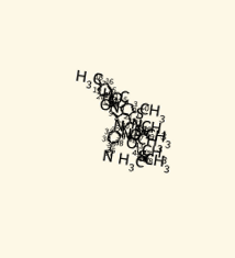 CSc1cc(C)c2c(ccn2S(=O)(=O)c2ccc(C)cc2)c1/C(=N/[S+]([O-])C(C)(C)C)c1nc2ccc(C#N)cc2n1COCC[Si](C)(C)C